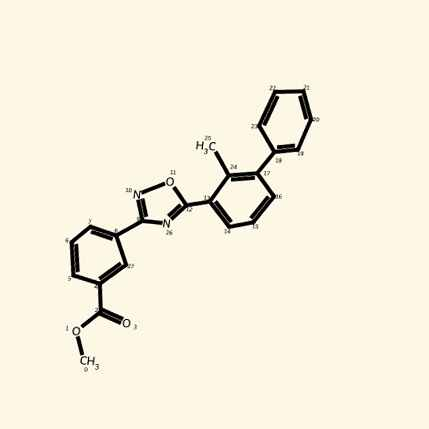 COC(=O)c1cccc(-c2noc(-c3cccc(-c4ccccc4)c3C)n2)c1